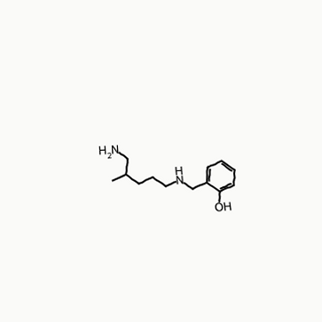 CC(CN)CCCNCc1ccccc1O